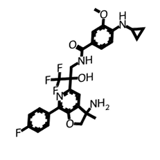 COc1cc(C(=O)NCC(O)(c2cc3c(c(-c4ccc(F)cc4)n2)OCC3(C)N)C(F)(F)F)ccc1NC1CC1